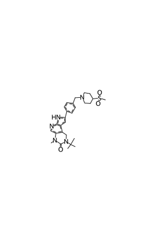 CN1C(=O)N(C(C)(C)C)Cc2c1cnc1[nH]c(-c3ccc(CN4CCC(S(C)(=O)=O)CC4)cc3)cc21